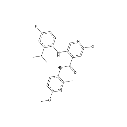 COc1ccc(NC(=O)c2cc(Cl)ncc2Nc2ccc(F)cc2C(C)C)c(C)n1